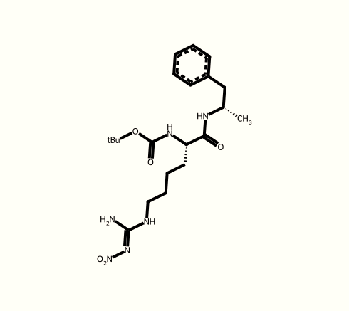 C[C@@H](Cc1ccccc1)NC(=O)[C@H](CCCCN/C(N)=N/[N+](=O)[O-])NC(=O)OC(C)(C)C